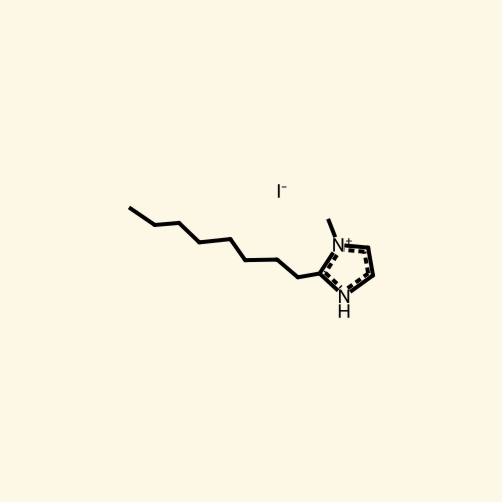 CCCCCCCCc1[nH]cc[n+]1C.[I-]